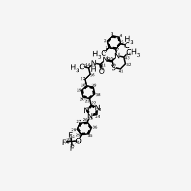 Cc1cccc(C)c1N1/C(=N/C(=O)NC(C)CCc2ccc(-c3ncn(-c4ccc(OC(F)(F)F)cc4)n3)cc2)SCCC1C